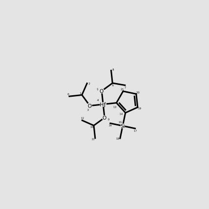 CC(C)[O][Hf]([O]C(C)C)([O]C(C)C)[C]1=C([Si](C)(C)C)C=CC1